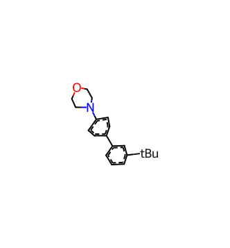 CC(C)(C)c1cccc(-c2ccc(N3CCOCC3)cc2)c1